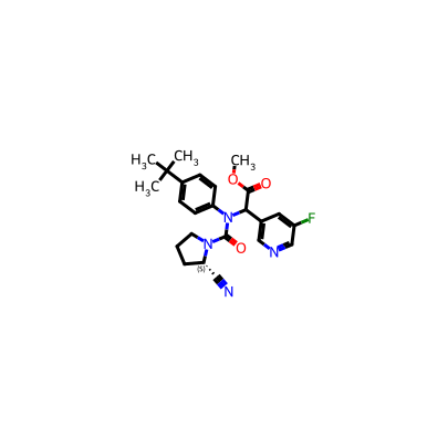 COC(=O)C(c1cncc(F)c1)N(C(=O)N1CCC[C@H]1C#N)c1ccc(C(C)(C)C)cc1